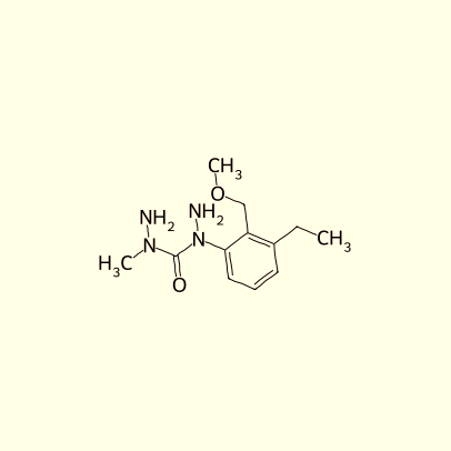 CCc1cccc(N(N)C(=O)N(C)N)c1COC